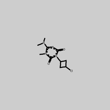 CN(C)c1nc(=O)n(C2CC(Cl)C2)c(=O)n1C